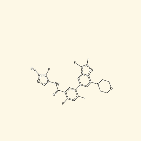 Cc1cc(F)c(C(=O)Nc2cnn(C(C)(C)C)c2F)cc1-c1cc(N2CCOCC2)c2nc(C)c(F)n2c1